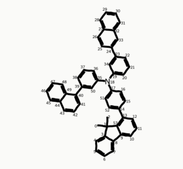 CC1(C)c2ccccc2-c2cccc(-c3ccc(N(c4cccc(-c5ccc6ccccc6c5)c4)c4cccc(-c5cccc6ccccc56)c4)cc3)c21